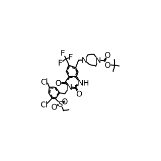 CCS(=O)(=O)c1c(Cl)cc(Cl)cc1Cn1c(=O)[nH]c2cc(CN3CCN(C(=O)OC(C)(C)C)CC3)c(C(F)(F)F)cc2c1=O